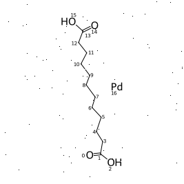 O=C(O)CCCCCCCCCCC(=O)O.[Pd]